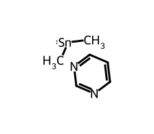 [CH3][Sn][CH3].c1cncnc1